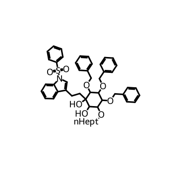 CCCCCCCOC1C(OCc2ccccc2)C(OCc2ccccc2)C(OCc2ccccc2)C(O)(CCc2cn(S(=O)(=O)c3ccccc3)c3ccccc23)C1O